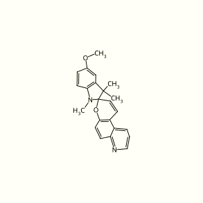 COc1ccc2c(c1)C(C)(C)C1(C=Cc3c(ccc4ncccc34)O1)N2C